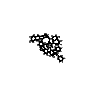 c1ccc(-n2c3ccccc3c3c(C4=NC(c5cccc6ccccc56)=C5CC(=N4)c4c(ccc6oc7ccccc7c46)-n4c6cc(ccc6c6cc7ccccc7cc64)C5)cccc32)cc1